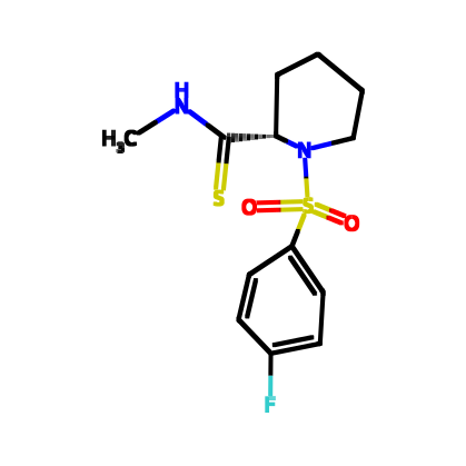 CNC(=S)[C@@H]1CCCCN1S(=O)(=O)c1ccc(F)cc1